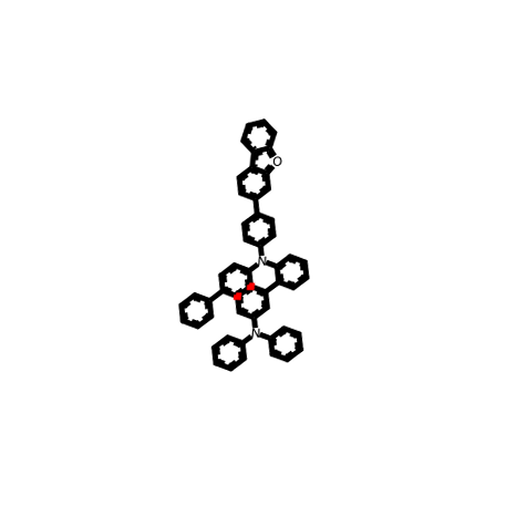 c1ccc(-c2ccc(N(c3ccc(-c4ccc5c(c4)oc4ccccc45)cc3)c3ccccc3-c3cccc(N(c4ccccc4)c4ccccc4)c3)cc2)cc1